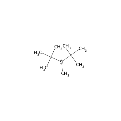 C[Si](C(C)(C)C)C(C)(C)C